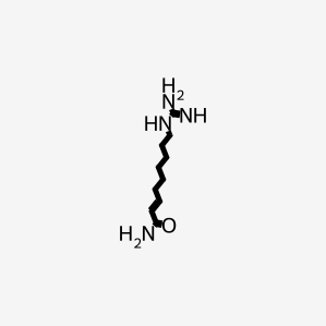 N=C(N)NCCCCCC/C=C/C(N)=O